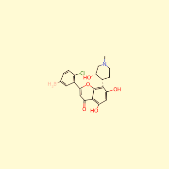 Bc1ccc(Cl)c(-c2cc(=O)c3c(O)cc(O)c([C@H]4CCN(C)C[C@H]4O)c3o2)c1